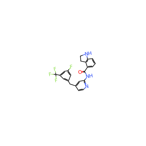 O=C(Nc1cc(Cc2cc(F)cc(C(F)(F)F)c2)ccn1)c1cccc2c1CCN2